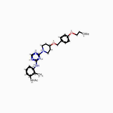 COCCOc1ccc(COC2CCN(c3ncnc(Nc4cccc(NC(C)=O)c4C)n3)CC2)cc1